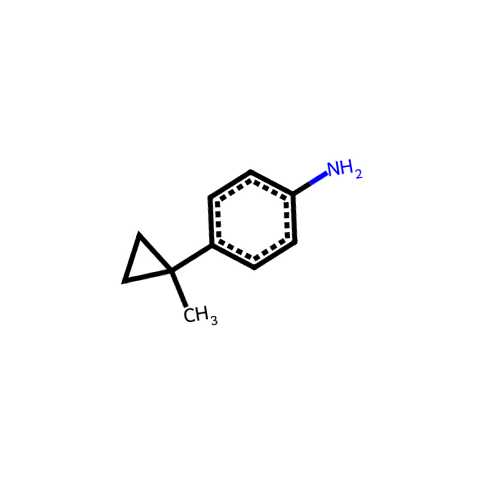 CC1(c2ccc(N)cc2)CC1